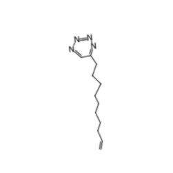 C=CCCCCCCCCc1cnnnn1